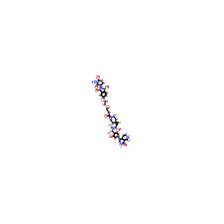 COc1cc(-c2cn(C)c(=O)c3cnccc23)cc(OC)c1CN(C)CC1CC12CCN(C(=O)CCOCCOc1ccc3c(c1)C(=O)N(C1CCC(=O)NC1=O)C3=O)CC2